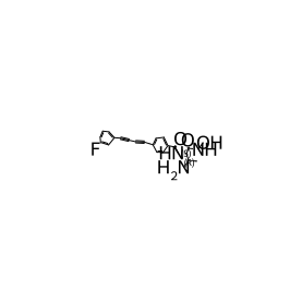 C[C@@H](N)[C@H](NC(=O)c1ccc(C#CC#Cc2cccc(F)c2)cc1)C(=O)NO